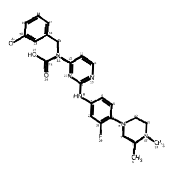 CC1CN(c2ccc(Nc3nccc(N(Cc4cccc(Cl)c4)C(=O)O)n3)cc2F)CCN1C